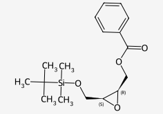 CC(C)(C)[Si](C)(C)OC[C@@H]1O[C@@H]1COC(=O)c1ccccc1